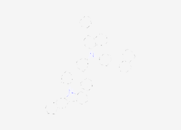 c1ccc(-c2c(-c3ccc(N(c4ccc(-c5cccc6ccccc56)cc4)c4ccc(-c5ccccc5)c5ccccc45)cc3)cccc2-n2c3ccccc3c3cc4ccccc4cc32)cc1